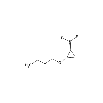 CCCCO[C@H]1C[C@@H]1B(F)F